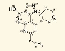 CCc1ccc(-c2c(C(=O)O)cnn2C2CCOCC2)c(F)n1